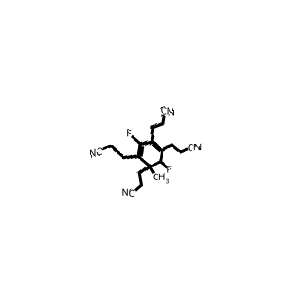 CC1(CCC#N)C(CCC#N)=C(F)C(CCC#N)=C(CCC#N)C1F